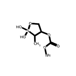 CCCOC(=O)OC1COS(O)(O)C1C